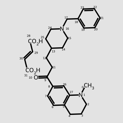 CN1CCCc2ccc(C(=O)CCC3CCN(Cc4ccccc4)CC3)cc21.O=C(O)C=CC(=O)O